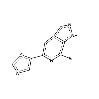 Brc1nc(-c2cncs2)cc2cn[nH]c12